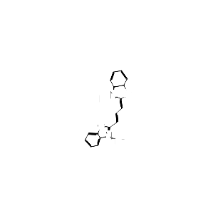 CCN1C(=CC=Cc2oc3ccccc3[n+]2CC)OC2C=CC=CC21